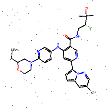 CC(=O)NCC1CN(c2ccc(Nc3cc(-c4ccc5cc(C#N)cnn45)ncc3C(=O)NC[C@@H](F)C(C)(C)O)cn2)CCO1